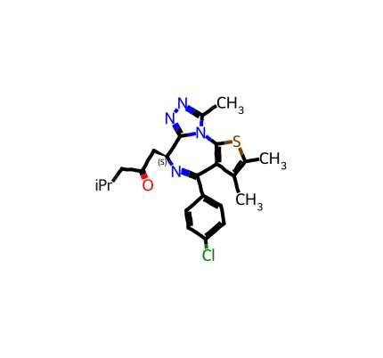 Cc1sc2c(c1C)C(c1ccc(Cl)cc1)=N[C@@H](CC(=O)CC(C)C)c1nnc(C)n1-2